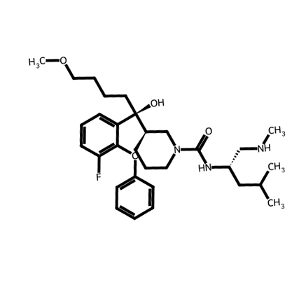 CNC[C@H](CC(C)C)NC(=O)N1CCC[C@@H]([C@@](O)(CCCCOC)c2cccc(F)c2Oc2ccccc2)C1